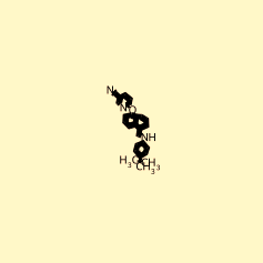 CC(C)(C)[C@H]1CC[C@H](NCc2cccc3c(Oc4ccc(C#N)cn4)cccc23)CC1